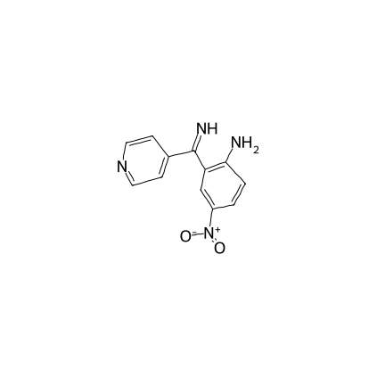 N=C(c1ccncc1)c1cc([N+](=O)[O-])ccc1N